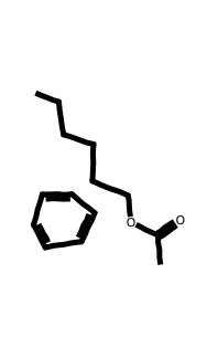 CCCCCCOC(C)=O.c1ccccc1